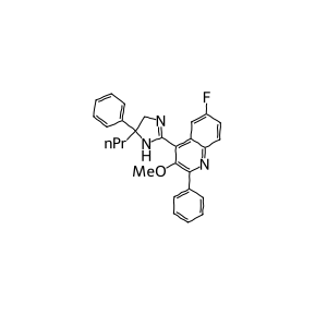 CCCC1(c2ccccc2)CN=C(c2c(OC)c(-c3ccccc3)nc3ccc(F)cc23)N1